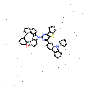 c1ccc(-n2c3ccccc3c3ccc(-c4nc(-n5c6ccc7cccc8c7c6c6c7c(ccc65)oc5cccc-8c57)nc5c4sc4ccccc45)cc32)cc1